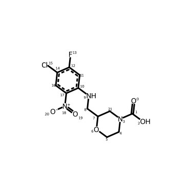 O=C(O)N1CCOC(CNc2cc(F)c(Cl)cc2[N+](=O)[O-])C1